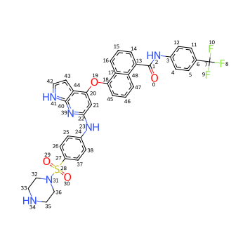 O=C(Nc1ccc(C(F)(F)F)cc1)c1cccc2c(Oc3cc(Nc4ccc(S(=O)(=O)N5CCNCC5)cc4)nc4[nH]ccc34)cccc12